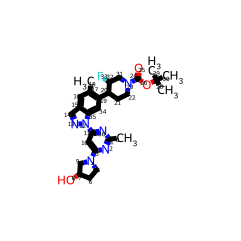 Cc1nc(N2CCC(O)C2)cc(-n2ncc3cc(C)c(C4CCN(C(=O)OC(C)(C)C)CC4F)cc32)n1